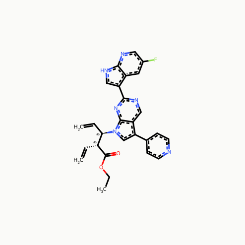 C=C[C@H]([C@@H](C=C)C(=O)OCC)n1cc(-c2ccncc2)c2cnc(-c3c[nH]c4ncc(F)cc34)nc21